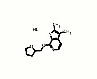 Cc1[nH]c2c(OCC3CCCO3)nccc2c1C.Cl